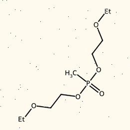 CCOCCOP(C)(=O)OCCOCC